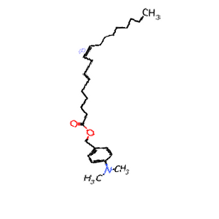 CCCCCCCC/C=C\CCCCCCCC(=O)OCc1ccc(N(C)C)cc1